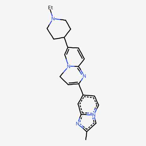 CCN1CCC(C2=CN3CC=C(c4ccn5cc(C)nc5c4)N=C3C=C2)CC1